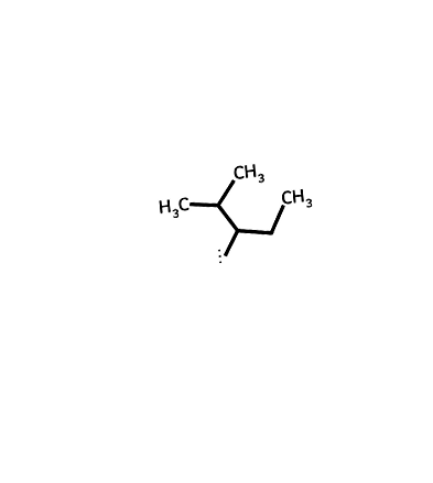 [C]C(CC)C(C)C